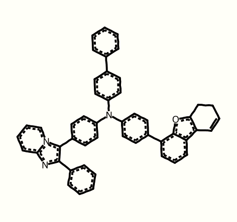 C1=Cc2c(oc3c(-c4ccc(N(c5ccc(-c6ccccc6)cc5)c5ccc(-c6c(-c7ccccc7)nc7ccccn67)cc5)cc4)cccc23)CC1